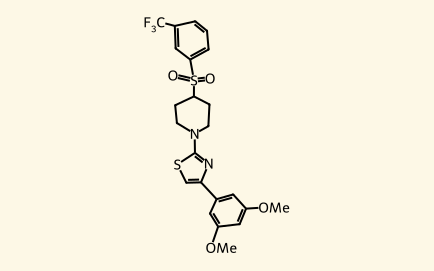 COc1cc(OC)cc(-c2csc(N3CCC(S(=O)(=O)c4cccc(C(F)(F)F)c4)CC3)n2)c1